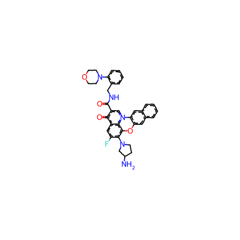 NC1CCN(c2c(F)cc3c(=O)c(C(=O)NCc4ccccc4N4CCOCC4)cn4c3c2Oc2cc3ccccc3cc2-4)C1